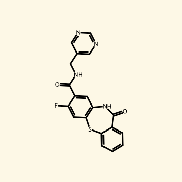 O=C(NCc1cncnc1)c1cc2c(cc1F)Sc1ccccc1C(=O)N2